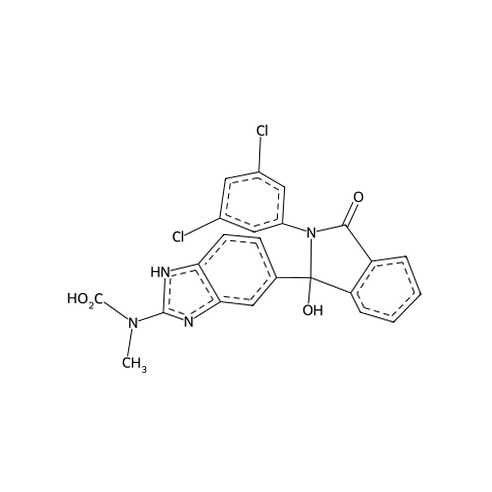 CN(C(=O)O)c1nc2cc(C3(O)c4ccccc4C(=O)N3c3cc(Cl)cc(Cl)c3)ccc2[nH]1